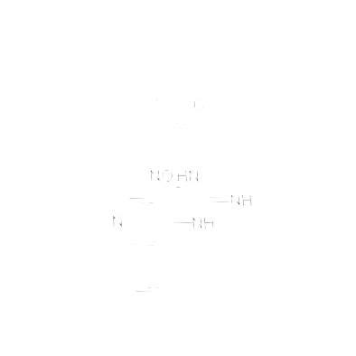 N=C(NCc1ccco1)Nc1c([N+](=O)[O-])cnc2ccccc12